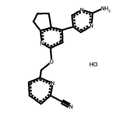 Cl.N#Cc1cccc(COc2cc(-c3cnc(N)nc3)c3c(n2)CCC3)n1